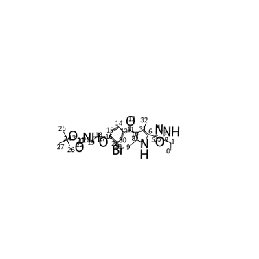 CCC1NN=C(c2[nH]c(C)c(C(=O)c3ccc(OCCNC(=O)OC(C)(C)C)c(Br)c3)c2C)O1